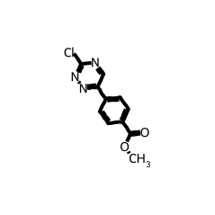 COC(=O)c1ccc(-c2cnc(Cl)nn2)cc1